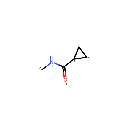 CNC(=O)[C]1CC1